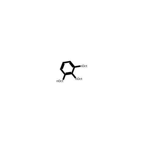 CCCCCCCCc1[c]ccc(CCCCCCCC)c1CCCCCCCC